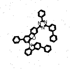 c1ccc(-c2cccc(-c3nc(-c4ccccc4)nc(-c4ccc5c(c4)oc4c(-n6c7ccccc7c7cc(-c8ccccc8)ccc76)cc(-c6ccccc6)cc45)n3)c2)cc1